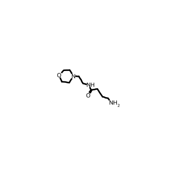 NCCCC(=O)NCCN1CCOCC1